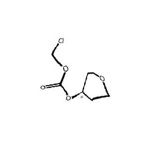 O=C(OCCl)O[C@@H]1CCOC1